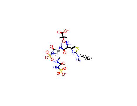 CC(C)(O/N=C(\C(=O)N[C@H]1C(=O)N(S(=O)(=O)[O-])[C@H]1CNC(=O)NS(=O)(=O)[O-])c1csc(N)n1)C(=O)[O-].[Na+].[Na+].[Na+]